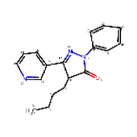 CCCCC1C(=O)N(c2ccccc2)N=C1c1cccnc1